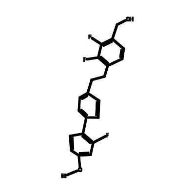 CCOc1ccc(-c2ccc(CCc3ccc(CO)c(F)c3F)cc2)c(F)c1